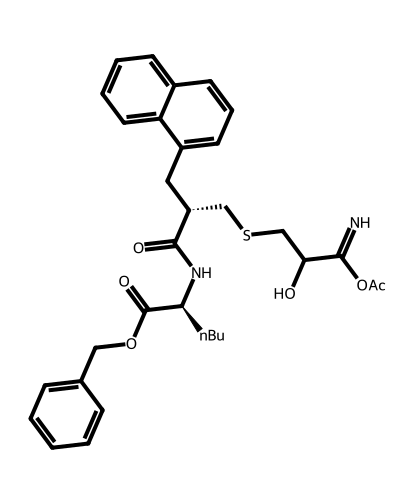 CCCC[C@H](NC(=O)[C@@H](CSCC(O)C(=N)OC(C)=O)Cc1cccc2ccccc12)C(=O)OCc1ccccc1